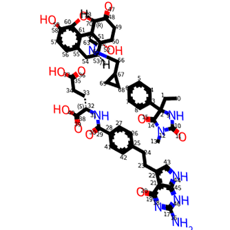 CCC1(c2ccccc2)NC(=O)N(C)C1=O.Nc1nc(=O)c2c(CCc3ccc(C(=O)N[C@@H](CCC(=O)O)C(=O)O)cc3)c[nH]c2[nH]1.O=C1CC[C@@]2(O)[C@H]3Cc4ccc(O)c5c4[C@@]2(CCN3CC2CC2)[C@H]1O5